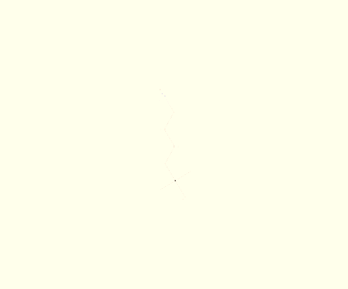 CC(C)(C)CCCCN